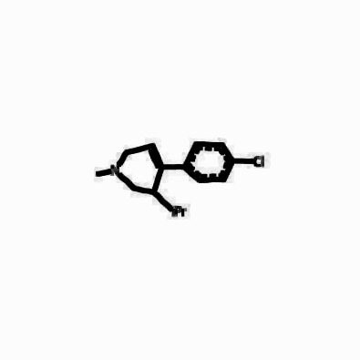 CC(C)C1CN(C)CC=C1c1ccc(Cl)cc1